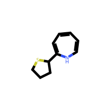 C1=CC=C(C2CCCS2)NC=C1